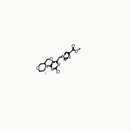 COC(=O)c1cn(Cc2nc(Cl)nc3c2OCC2COC[C@@H](C)N32)nn1